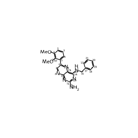 COc1cccc(-c2cnc3nc(N)nc(NCc4ccccc4)c3n2)c1OC